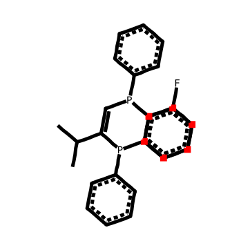 CC(C)/C(=C/P(c1ccccc1)c1ccccc1F)P(c1ccccc1)c1ccccc1